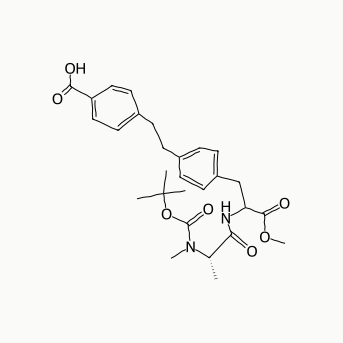 COC(=O)C(Cc1ccc(CCc2ccc(C(=O)O)cc2)cc1)NC(=O)[C@H](C)N(C)C(=O)OC(C)(C)C